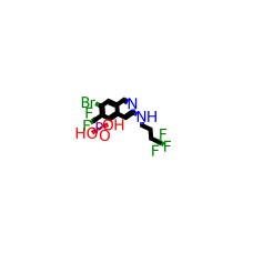 O=P(O)(O)C(F)(F)c1cc2cc(NCCCC(F)(F)F)ncc2cc1Br